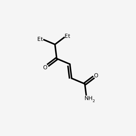 CCC(CC)C(=O)/C=C/C(N)=O